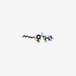 CCCCCCCCOc1ccc(Nc2nc(-c3cnccn3)c(Cl)s2)cc1C(F)(F)F